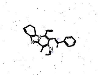 C=Cc1c(/C=C(\C)c2ccccc2)c(/N=C\C)c(C)c2nc3c(n12)CCC=C3